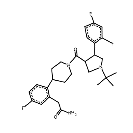 CC(C)(C)N1CC(C(=O)N2CCC(c3ccc(F)cc3CC(N)=O)CC2)C(c2ccc(F)cc2F)C1